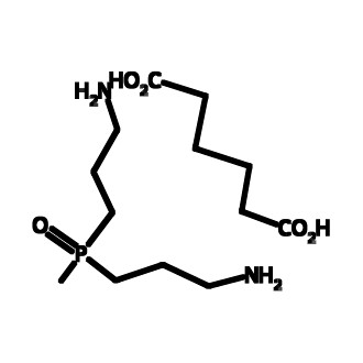 CP(=O)(CCCN)CCCN.O=C(O)CCCCC(=O)O